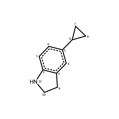 c1cc2c(cc1C1CC1)CCN2